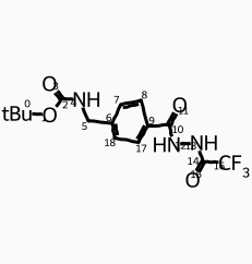 CC(C)(C)OC(=O)NCc1ccc(C(=O)NNC(=O)C(F)(F)F)cc1